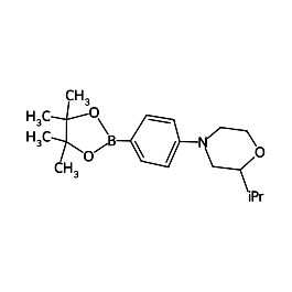 CC(C)C1CN(c2ccc(B3OC(C)(C)C(C)(C)O3)cc2)CCO1